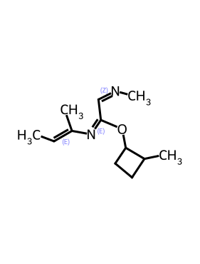 C/C=C(C)/N=C(\C=N/C)OC1CCC1C